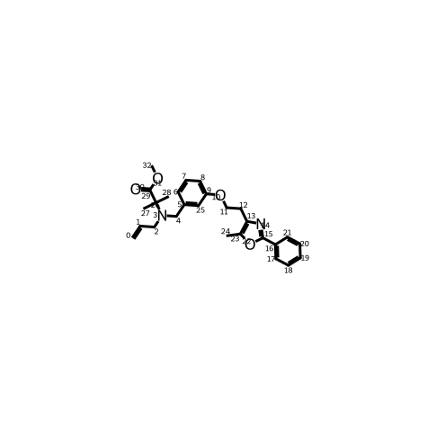 C=CCN(Cc1cccc(OCCc2nc(-c3ccccc3)oc2C)c1)C(C)(C)C(=O)OC